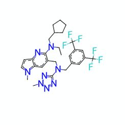 CCN(CC1CCCC1)c1nc2ccn(C)c2cc1CN(Cc1cc(C(F)(F)F)cc(C(F)(F)F)c1)c1nnn(C)n1